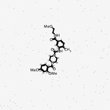 COCCNC(=O)c1ccc(C)c(NC(=O)N2CCN(C(=O)c3ccc(OC)cc3OC)CC2)c1